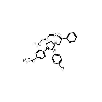 CCOC=O.COc1ccc(N2CC[C@@H](CC(=O)c3ccccc3)[C@@H]2c2ccc(Cl)cc2)cc1